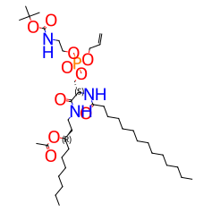 C=CCOP(=O)(OCCNC(=O)OC(C)(C)C)OC[C@H](NC(=O)CCCCCCCCCCCCC)C(=O)NCC[C@@H](CCCCCCC)OC(C)=O